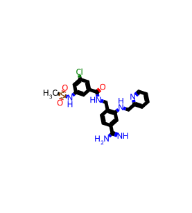 CS(=O)(=O)Nc1cc(Cl)cc(C(=O)NCc2ccc(C(=N)N)cc2NCc2ccccn2)c1